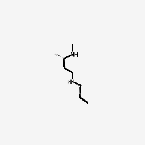 CCCNCC[C@H](C)NC